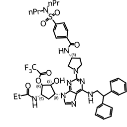 CCCN(CCC)S(=O)(=O)c1ccc(C(=O)N[C@@H]2CCN(c3nc(NCC(c4ccccc4)c4ccccc4)c4ncn([C@@H]5C[C@H](NC(=O)CC)[C@@H](OC(=O)C(F)(F)F)[C@H]5O)c4n3)C2)cc1